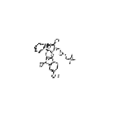 C[Si](C)(C)CCOCN1C(=O)NC(CN2Cc3ccc(O)cc3C2=O)(c2ccccc2)C1=O